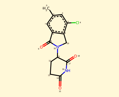 [CH2]c1cc(Cl)c2c(c1)C(=O)N(C1CCC(=O)NC1=O)C2